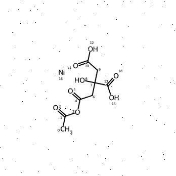 CC(=O)OC(=O)CC(O)(CC(=O)O)C(=O)O.[Ni]